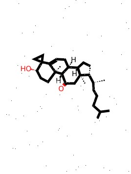 CC(C)CCC[C@@H](C)[C@H]1CC[C@H]2[C@@H]3CC=C4C5(CC5)[C@@H](O)CC[C@]4(C)[C@H]3C(=O)C[C@]12C